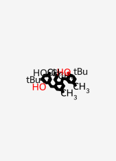 C/C(=C\c1c(Cc2cc(C)cc(C(C)(C)C)c2O)cc(C)cc1Cc1cc(C)cc(C(C)(C)C)c1O)C(=O)O